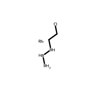 BBBCCCl.[Rh]